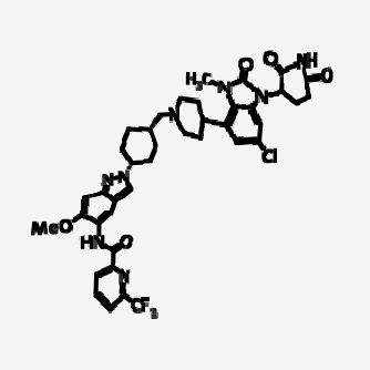 COc1cc2nn([C@H]3CC[C@H](CN4CCC(c5cc(Cl)cc6c5n(C)c(=O)n6C5CCC(=O)NC5=O)CC4)CC3)cc2cc1NC(=O)c1cccc(C(F)(F)F)n1